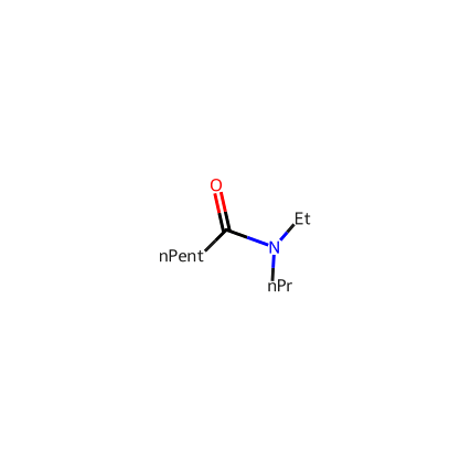 CCCCCC(=O)N(CC)CCC